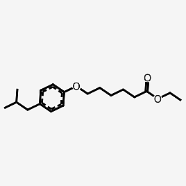 CCOC(=O)CCCCCOc1ccc(CC(C)C)cc1